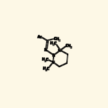 CC(=O)C(C)=NN1[Si](C)(C)CCC[Si]1(C)C